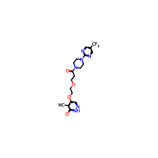 N#Cc1c(OCCOCCC(=O)N2CCN(c3ncc(C(F)(F)F)cn3)CC2)cn[nH]c1=O